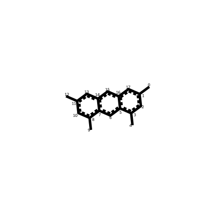 Cc1cc(C)c2cc3c(C)cc(C)cc3cc2c1